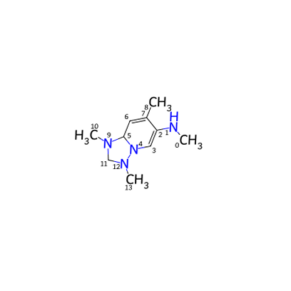 CNC1=CN2C(C=C1C)N(C)CN2C